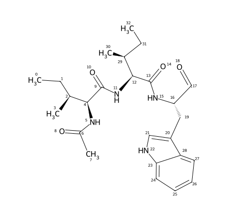 CC[C@H](C)[C@H](NC(C)=O)C(=O)N[C@H](C(=O)N[C@H]([C]=O)Cc1c[nH]c2ccccc12)[C@@H](C)CC